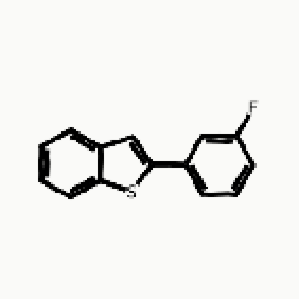 Fc1cccc(-c2cc3ccccc3s2)c1